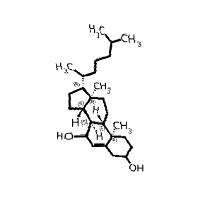 CC(C)CCCC(C)[C@H]1CC[C@H]2[C@@H]3C(O)C=C4CC(O)CC[C@]4(C)[C@H]3CC[C@]12C